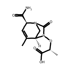 CC1=C[C@@H](C(N)=O)N2C[C@H]1N(O[C@H](C)C(=O)O)C2=O